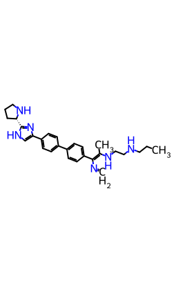 C=N/C(=C(/C)NCCNCCC)c1ccc(-c2ccc(-c3c[nH]c([C@@H]4CCCN4)n3)cc2)cc1